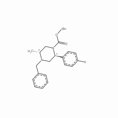 C[C@@H]1CN(C(=O)OC(C)(C)C)[C@@H](c2ccc(F)cc2)CN1Cc1ccccc1